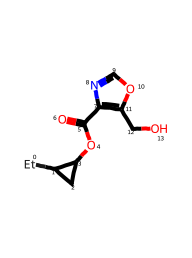 CCC1CC1OC(=O)c1ncoc1CO